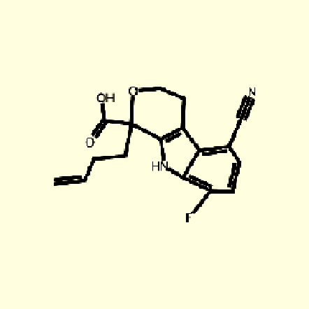 C=CCCC1(C(=O)O)OCCc2c1[nH]c1c(F)ccc(C#N)c21